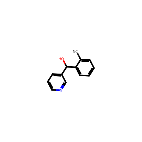 N#Cc1ccccc1C(O)c1cccnc1